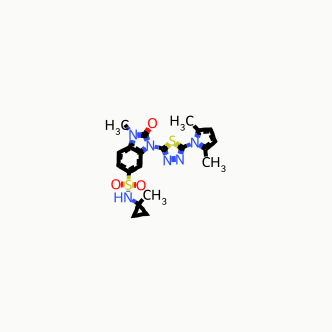 Cc1ccc(C)n1-c1nnc(-n2c(=O)n(C)c3ccc(S(=O)(=O)NC4(C)CC4)cc32)s1